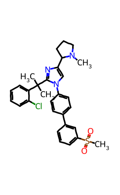 CN1CCCC1c1cn(-c2ccc(-c3cccc(S(C)(=O)=O)c3)cc2)c(C(C)(C)c2ccccc2Cl)n1